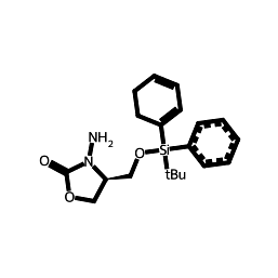 CC(C)(C)[Si](OC[C@H]1COC(=O)N1N)(C1=CC=CCC1)c1ccccc1